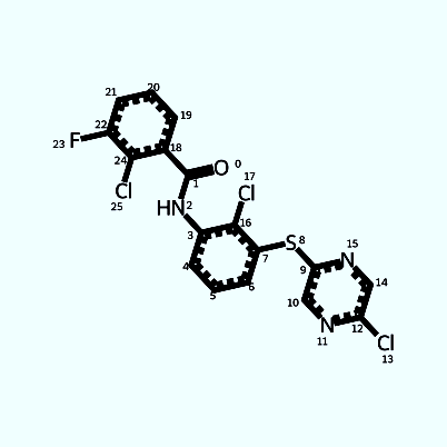 O=C(Nc1cccc(Sc2cnc(Cl)cn2)c1Cl)c1cccc(F)c1Cl